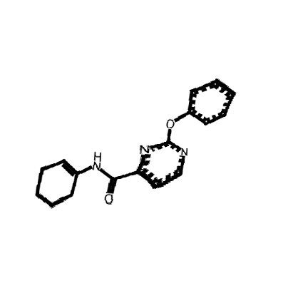 O=C(NC1=CCCCC1)c1ccnc(Oc2ccccc2)n1